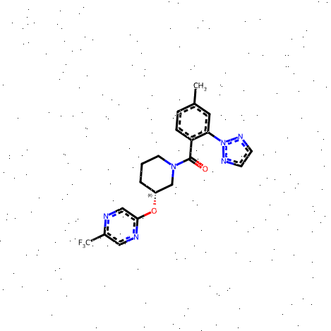 Cc1ccc(C(=O)N2CCC[C@@H](Oc3cnc(C(F)(F)F)cn3)C2)c(-n2nccn2)c1